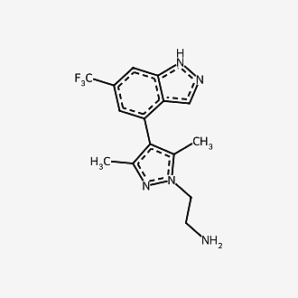 Cc1nn(CCN)c(C)c1-c1cc(C(F)(F)F)cc2[nH]ncc12